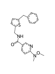 CON(C)c1ccc(C(=O)NCc2ccc(Cc3ccccc3)s2)cn1